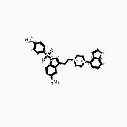 COc1ccc2c(c1)c(CCN1CCN(c3cccc4sccc34)CC1)cn2S(=O)(=O)c1ccc(C)cc1